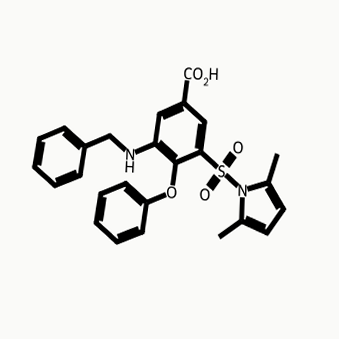 Cc1ccc(C)n1S(=O)(=O)c1cc(C(=O)O)cc(NCc2ccccc2)c1Oc1ccccc1